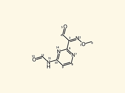 CO/N=C(/[C]=O)c1nccc(NC=O)n1